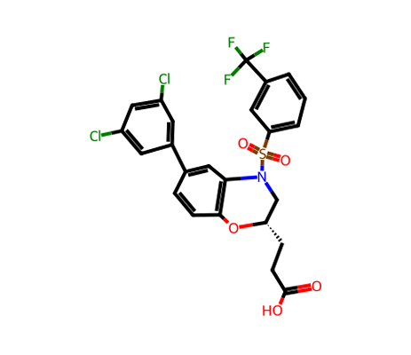 O=C(O)CC[C@H]1CN(S(=O)(=O)c2cccc(C(F)(F)F)c2)c2cc(-c3cc(Cl)cc(Cl)c3)ccc2O1